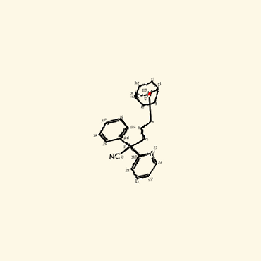 N#CC(CCCN1CC2CCC(CC2)C1)(c1ccccc1)c1ccccn1